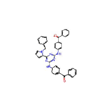 O=C(c1ccccc1)c1ccc(Nc2nc(Nc3ccc(C(=O)c4ccccc4)cc3)nc(-c3cccn3Cc3ccccc3)n2)cc1